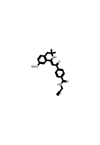 C#CCNC(=O)c1ccc(C(=O)C=C2NC(C)(C)Cc3ccc(OC)cc32)cc1